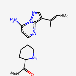 CN/C=C(\C)c1cnn2c(N)cc([C@H]3CC[C@@H](C(=O)NC)NC3)nc12